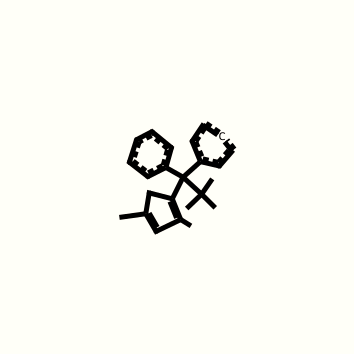 CC1=CC(C)=C(C(c2ccccc2)(c2ccccc2)C(C)(C)C)C1